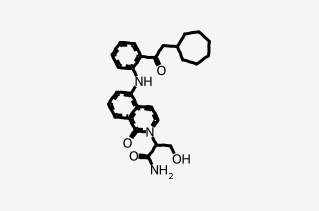 NC(=O)C(CO)n1ccc2c(Nc3ccccc3C(=O)CC3CCCCCC3)cccc2c1=O